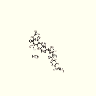 CC(N)c1ccc(C(=O)N[C@@H]2CCCN(C(=O)Nc3cc4c(=O)n(CC5CC5)c(=O)n(C(C)C)c4cc3F)C2)cc1.Cl